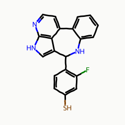 Fc1cc(S)ccc1C1Nc2ccccc2-c2ccnc3[nH]cc1c23